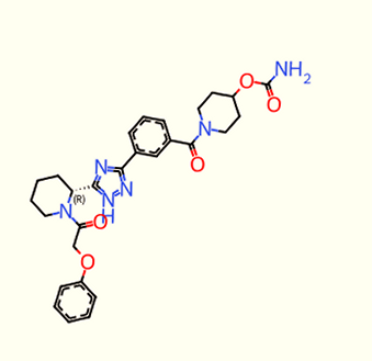 NC(=O)OC1CCN(C(=O)c2cccc(-c3n[nH]c([C@H]4CCCCN4C(=O)COc4ccccc4)n3)c2)CC1